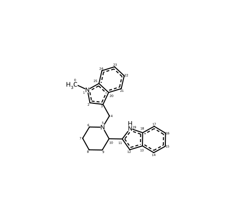 Cn1cc(CN2CCCCC2c2cc3ccccc3[nH]2)c2ccccc21